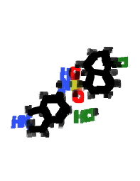 Cl.O=S(=O)(Nc1ccc2c(c1)CNCC2)c1cccc2c(Cl)cccc12